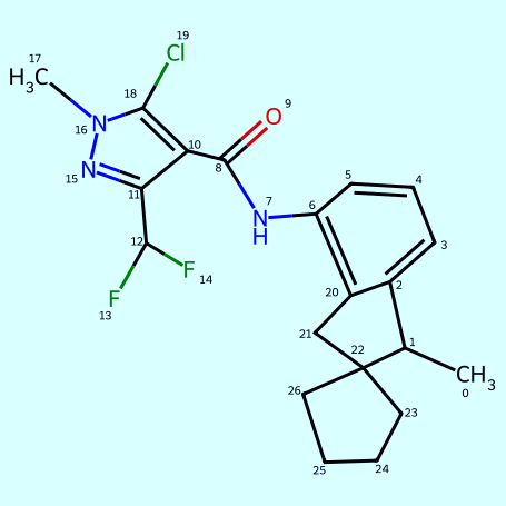 CC1c2cccc(NC(=O)c3c(C(F)F)nn(C)c3Cl)c2CC12CCCC2